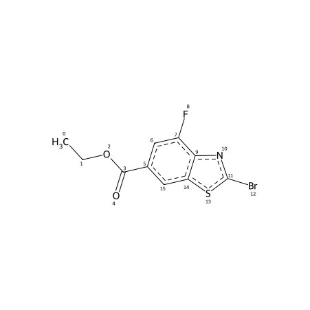 CCOC(=O)c1cc(F)c2nc(Br)sc2c1